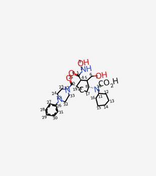 O=C(NO)[C@H]1C(CO)[C@H](N(C(=O)O)C2CCCCC2)CC[C@@H]1C(=O)N1CCN(c2ccccc2)CC1